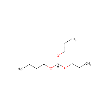 CCCCO[SiH](OCCC)OCCC